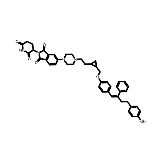 O=C1CCC(N2C(=O)c3ccc(N4CCN(CCC5CC5COc5ccc(/C=C(/CCc6ccc(O)cc6)c6ccccc6)cc5)CC4)cc3C2=O)C(=O)N1